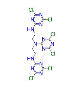 Clc1nc(Cl)nc(NCCN(CCNc2nc(Cl)nc(Cl)n2)c2nc(Cl)nc(Cl)n2)n1